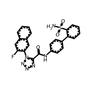 NS(=O)(=O)c1ccccc1-c1ccc(NC(=O)c2nnnn2-c2cc3ccccc3cc2F)cc1